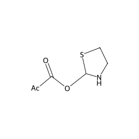 CC(=O)C(=O)OC1NCCS1